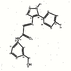 Cn1ncc(C=CC(=O)Nc2cccc(CO)c2)c1-c1ccc(F)cc1